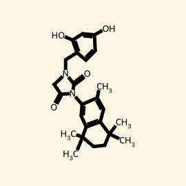 Cc1cc2c(cc1N1C(=O)CN(Cc3ccc(O)cc3O)C1=O)C(C)(C)CCC2(C)C